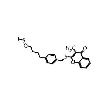 Cc1c(SCc2ccc(CCCCOSI)cc2)oc2ccccc2c1=O